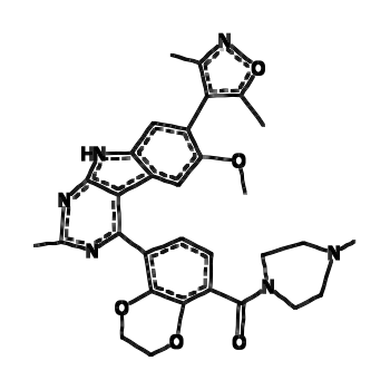 COc1cc2c(cc1-c1c(C)noc1C)[nH]c1nc(C)nc(-c3ccc(C(=O)N4CCN(C)CC4)c4c3OCCO4)c12